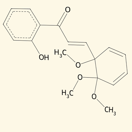 COC1(C=CC(=O)c2ccccc2O)C=CC=CC1(OC)OC